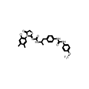 Cc1cc(Cl)c(N2C(=O)CS/C2=N\C(=O)NC(C)Cc2ccc(NC(=O)Nc3ccc(OC(F)(F)F)cc3)cc2)cc1C